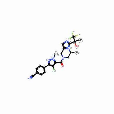 C[C@H]1CN(C(=O)c2c(Cl)c(-c3ccc(C#N)cc3)nn2C)Cc2cnc(C(C)(O)C(F)(F)F)n21